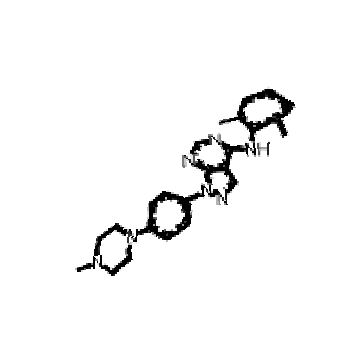 Cc1cccc(C)c1Nc1ncnc2c1cnn2-c1ccc(N2CCN(C)CC2)cc1